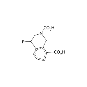 O=C(O)c1cccc2c1CN(C(=O)O)CC2F